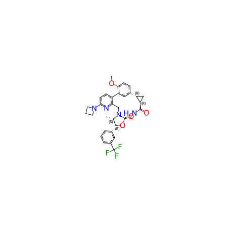 COc1ccc([C@@H]2C[C@H]2C(N)=O)cc1-c1ccc(N2CCC2)nc1CN1C(=O)O[C@H](c2cccc(C(F)(F)F)c2)[C@@H]1C